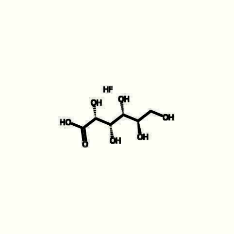 F.O=C(O)[C@H](O)[C@@H](O)[C@H](O)[C@H](O)CO